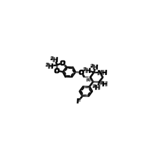 [2H]C1([2H])Oc2ccc(OC[C@H]3C(c4ccc(F)cc4)C([2H])([2H])CNC3([2H])[2H])cc2O1